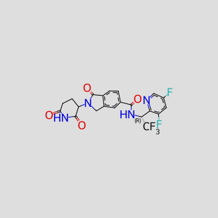 O=C1CCC(N2Cc3cc(C(=O)N[C@H](c4ncc(F)cc4F)C(F)(F)F)ccc3C2=O)C(=O)N1